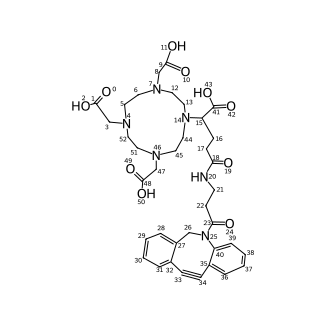 O=C(O)CN1CCN(CC(=O)O)CCN(C(CCC(=O)NCCC(=O)N2Cc3ccccc3C#Cc3ccccc32)C(=O)O)CCN(CC(=O)O)CC1